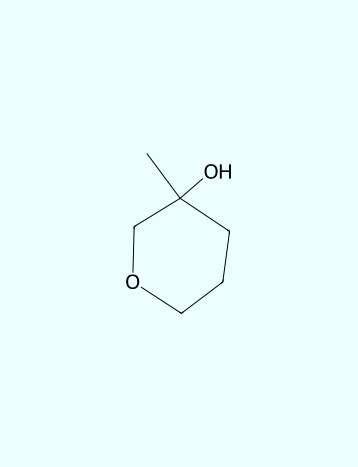 CC1(O)CCCOC1